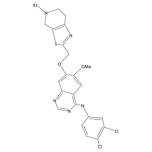 CCN1CCc2nc(COc3cc4ncnc([N]c5ccc(Cl)c(Cl)c5)c4cc3OC)sc2C1